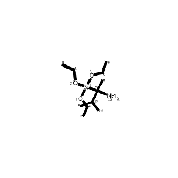 CCO[Si](OCC)(OCC)C(C)(N)C(C)C